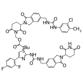 Cc1ccc(NC(=O)NCc2ccc3c(c2)CN(C2CCC(=O)N(COC(=O)C(C)(C)C)C2=O)C3=O)cc1Cl.O=C1CCC(N2Cc3cc(CNC(=O)Nc4nc(-c5ccc(F)cc5F)cs4)ccc3C2=O)C(=O)N1